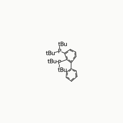 CC(C)(C)P(c1cccc(-c2ccccc2)c1P(C(C)(C)C)C(C)(C)C)C(C)(C)C